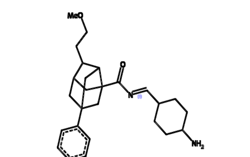 COCCC1C2CC3(c4ccccc4)CC1C(C(=O)/N=C/C1CCC(N)CC1)(C2)C3